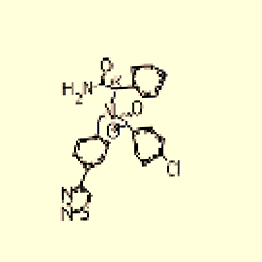 NC(=O)[C@@H](c1ccccc1)N(Cc1ccc(-c2csnn2)cc1)S(=O)(=O)c1ccc(Cl)cc1